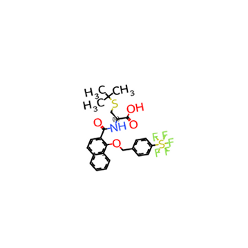 CC(C)(C)SC[C@H](NC(=O)c1ccc2ccccc2c1OCc1ccc(S(F)(F)(F)(F)F)cc1)C(=O)O